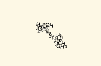 CC(CO)(CCCCSCCCCC(C)(CO)c1ccccc1)c1ccccc1